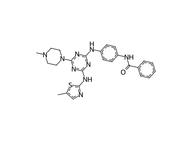 Cc1cnc(Nc2nc(Nc3ccc(NC(=O)c4ccccc4)cc3)nc(N3CCN(C)CC3)n2)s1